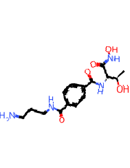 C[C@@H](O)[C@H](NC(=O)c1ccc(C(=O)NCCCN)cc1)C(=O)NO